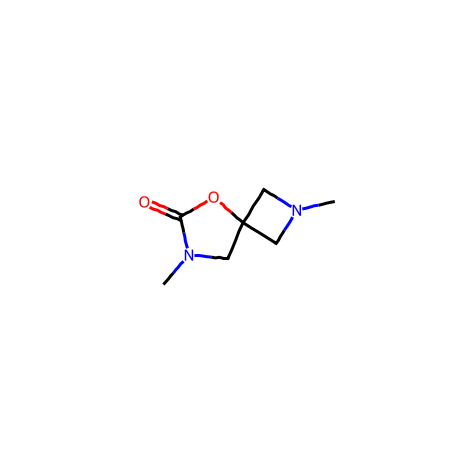 CN1CC2(C1)CN(C)C(=O)O2